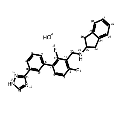 Cl.Fc1ccc(-c2cccc(-c3nc[nH]n3)c2)c(F)c1CNC1Cc2ccccc2C1